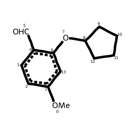 COc1ccc(C=O)c(OC2CCCC2)c1